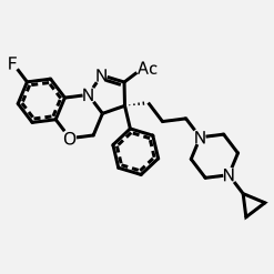 CC(=O)C1=NN2c3cc(F)ccc3OCC2[C@]1(CCCN1CCN(C2CC2)CC1)c1ccccc1